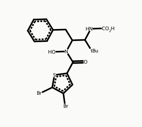 CC(C)(C)C(NC(=O)O)C(Cc1ccccc1)N(O)C(=O)c1cc(Br)c(Br)s1